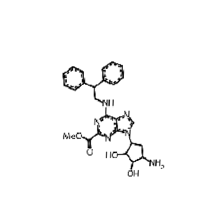 COC(=O)c1nc(NCC(c2ccccc2)c2ccccc2)c2ncn(C3CC(N)C(O)C3O)c2n1